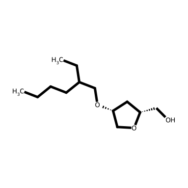 CCCCC(CC)CO[C@H]1CO[C@@H](CO)C1